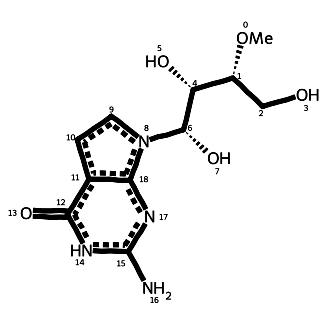 CO[C@H](CO)[C@@H](O)[C@H](O)n1ccc2c(=O)[nH]c(N)nc21